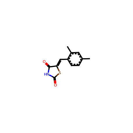 Cc1ccc(/C=C2\SC(=O)NC2=O)c(C)c1